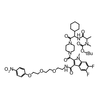 CC(C(=O)NC(C(=O)N1CCN(C(=O)c2c(C(=O)NCCOCCOCCOc3ccc([N+](=O)[O-])cc3)c3cc(F)c(F)cc3n2C)CC1)C1CCCCC1)N(C)C(=O)OC(C)(C)C